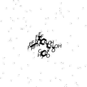 C[C@@H]1CCC(=O)N(C[C@H](CC(=O)N2CCc3c(nc(C(F)(F)C(F)(F)F)nc3C(F)(F)F)C2)NC(=O)O)C1